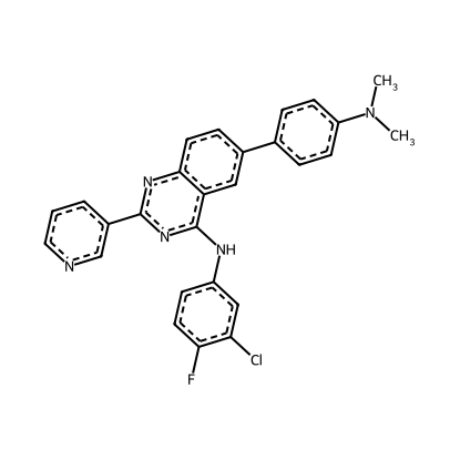 CN(C)c1ccc(-c2ccc3nc(-c4cccnc4)nc(Nc4ccc(F)c(Cl)c4)c3c2)cc1